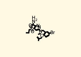 C=C(C)COc1ccc(Br)cc1CN(CC)c1cc(S(=O)(=O)CCC)c(C(N)=O)nn1